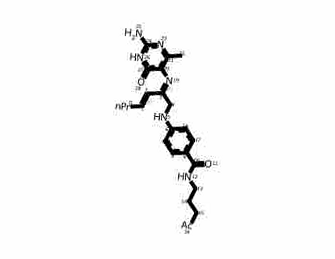 CCC/C=C/C(CNc1ccc(C(=O)NCCCC(C)=O)cc1)=N\c1c(C)nc(N)[nH]c1=O